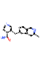 Cc1cc2cc(Cc3cnccc3C(N)=O)ccc2cn1